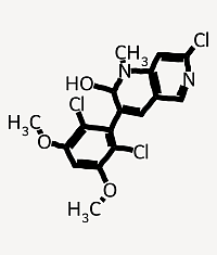 COc1cc(OC)c(Cl)c(C2=Cc3cnc(Cl)cc3N(C)C2O)c1Cl